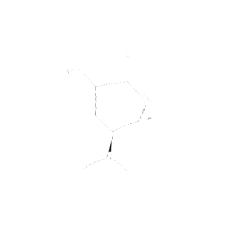 C[C@@H]1O[C@H](C)[C@@H](N(C)C)CC1O